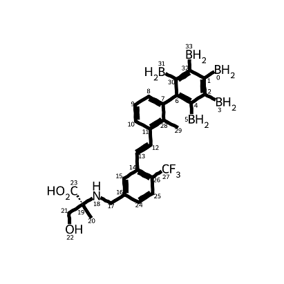 Bc1c(B)c(B)c(-c2cccc(/C=C/c3cc(CN[C@@](C)(CO)C(=O)O)ccc3C(F)(F)F)c2C)c(B)c1B